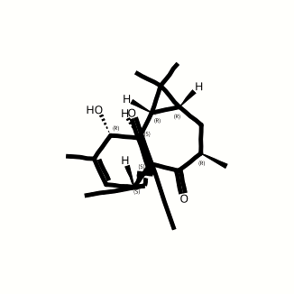 CC1=C[C@H]2C(C)=CC(=O)[C@@]23C(=O)[C@H](C)C[C@@H]2[C@H]([C@@H]3[C@H]1O)C2(C)C